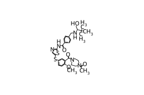 COc1ccc(Sc2cnc(NC(=O)c3ccc(CNC(CO)C(C)(C)C)cc3)s2)cc1C(=O)N1CCN(C(C)=O)CC1